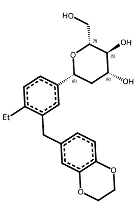 CCc1ccc([C@H]2C[C@@H](O)[C@H](O)[C@@H](CO)O2)cc1Cc1ccc2c(c1)OCCO2